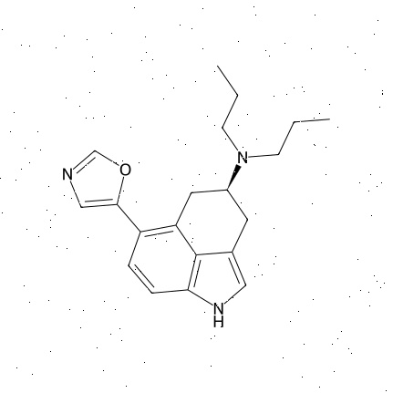 CCCN(CCC)[C@H]1Cc2c[nH]c3ccc(-c4cnco4)c(c23)C1